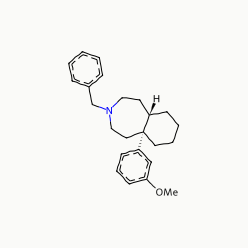 COc1cccc([C@@]23CCCC[C@H]2CCN(Cc2ccccc2)CC3)c1